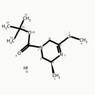 CSC1=N[C@@H](C)CN(C(=O)OC(C)(C)C)C1.I